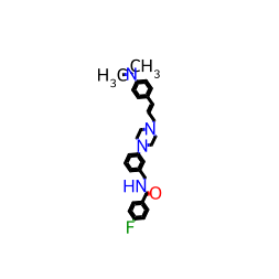 CN(C)c1ccc(C=CCN2CCN(c3cccc(CNC(=O)c4ccc(F)cc4)c3)CC2)cc1